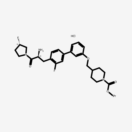 CC(C)OC(=O)N1CCC(COc2cccc(-c3ccc(C[C@H](N)C(=O)N4CC[C@H](F)C4)c(F)c3)c2)CC1.Cl